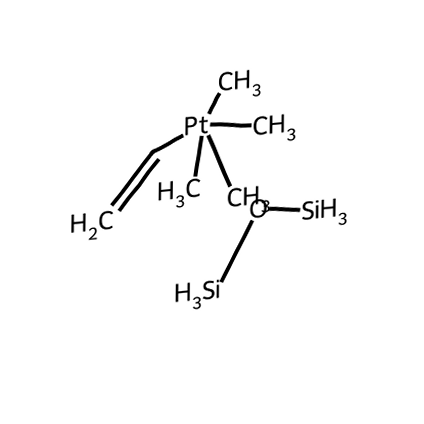 C=[CH][Pt]([CH3])([CH3])([CH3])[CH3].[SiH3]O[SiH3]